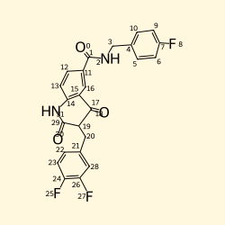 O=C(NCc1ccc(F)cc1)c1ccc2c(c1)C(=O)C(Cc1ccc(F)c(F)c1)C(=O)N2